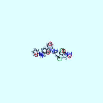 O=C1CCC(c2c(Cl)cc(CNC(=O)C3(c4ccc5c(cnn5C5CCCCO5)c4)CCOCC3)cc2Cl)C(=O)N1